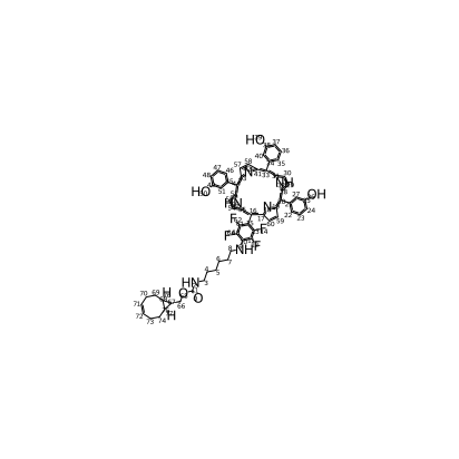 O=C(NCCCCCCNc1c(F)c(F)c(-c2c3nc(c(-c4cccc(O)c4)c4ccc([nH]4)c(-c4cccc(O)c4)c4nc(c(-c5cccc(O)c5)c5ccc2[nH]5)C=C4)C=C3)c(F)c1F)OC[C@@H]1[C@@H]2CC/C=C\CC[C@@H]21